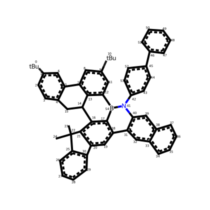 CC(C)(C)c1ccc2c(c1)-c1cc(C(C)(C)C)cc3c1C(C2)c1c2c(cc4c1C(C)(C)c1ccccc1-4)-c1cc4ccccc4cc1N(c1ccc(-c4ccccc4)cc1)B32